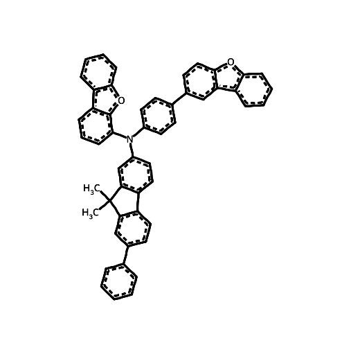 CC1(C)c2cc(-c3ccccc3)ccc2-c2ccc(N(c3ccc(-c4ccc5oc6ccccc6c5c4)cc3)c3cccc4c3oc3ccccc34)cc21